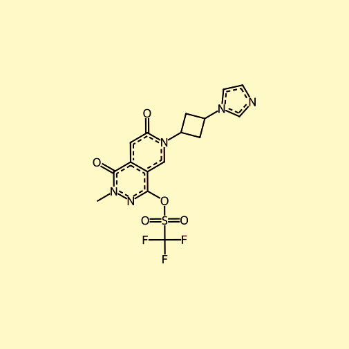 Cn1nc(OS(=O)(=O)C(F)(F)F)c2cn(C3CC(n4ccnc4)C3)c(=O)cc2c1=O